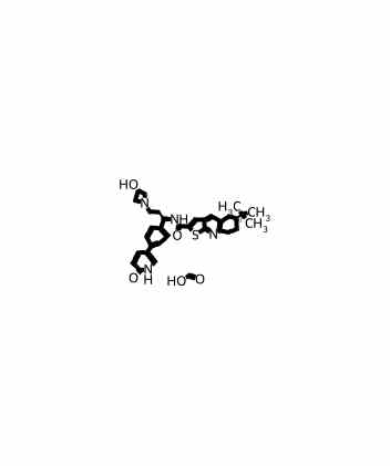 CC(C)(C)[C@H]1CCc2nc3sc(C(=O)N[C@H](CCN4CC(O)C4)c4ccc(-c5ccc(=O)[nH]c5)cc4)cc3cc2C1.O=CO